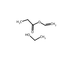 C=COC(=O)CC.CCO